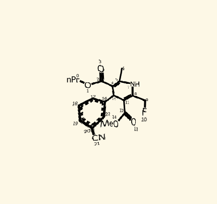 CCCOC(=O)C1=C(C)NC(CF)=C(C(=O)OC)C1c1cccc(C#N)c1